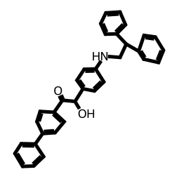 O=C(c1ccc(-c2ccccc2)cc1)C(O)c1ccc(NCC(c2ccccc2)c2ccccc2)cc1